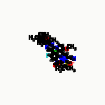 COc1ccnc(Cl)c1C(CC(C#N)N[S+]([O-])C(C)(C)C)Nc1cc(-c2cnc(C(C)(C)O[Si](C)(C)C(C)(C)C)nc2)c(F)cc1[N+](=O)[O-]